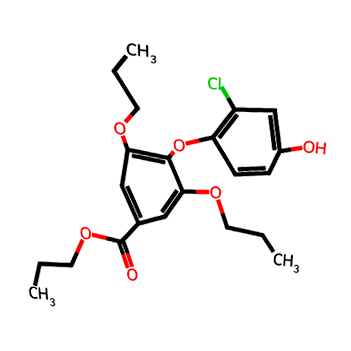 CCCOC(=O)c1cc(OCCC)c(Oc2ccc(O)cc2Cl)c(OCCC)c1